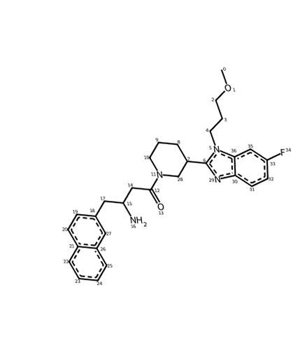 COCCCn1c(C2CCCN(C(=O)CC(N)Cc3ccc4ccccc4c3)C2)nc2ccc(F)cc21